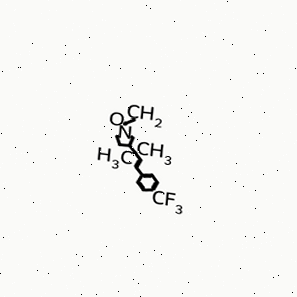 C=CC(=O)N1CCC(C(C)(C)C=Cc2ccc(C(F)(F)F)cc2)C1